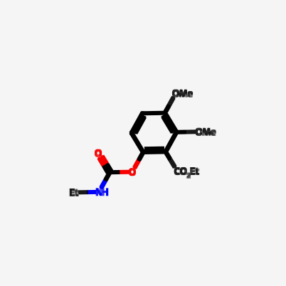 CCNC(=O)Oc1ccc(OC)c(OC)c1C(=O)OCC